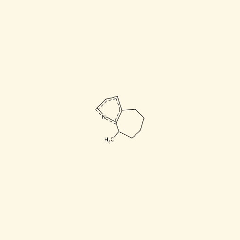 CC1CCCCc2cccnc21